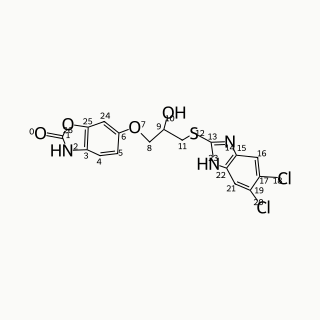 O=c1[nH]c2ccc(OCC(O)CSc3nc4cc(Cl)c(Cl)cc4[nH]3)cc2o1